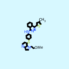 COCCn1ccc2nccc(Sc3ccc(Nc4nnc(-c5cc(C)cs5)c5ccccc45)cc3)c21